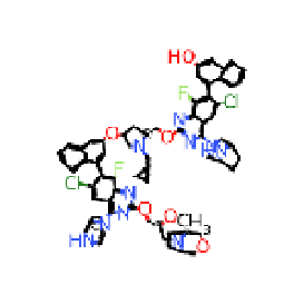 CO[C@@H](COc1nc(N2CC3CCCC2CN3)c2cc(Cl)c(-c3cc(OC4C[C@@H](COc5nc(N6CC7CCC(C6)N7)c6cc(Cl)c(-c7cc(O)cc8ccccc78)c(F)c6n5)N(CC5CC5)C4)cc4ccccc34)c(F)c2n1)CN1C2CCC1COC2